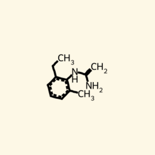 C=C(N)Nc1c(C)cccc1CC